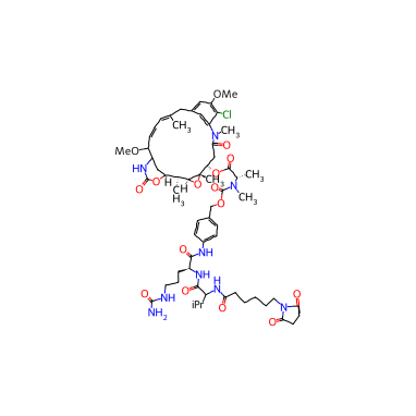 COc1cc2cc(c1Cl)N(C)C(=O)C[C@H](OC(=O)[C@H](C)N(C)C(=O)OCc1ccc(NC(=O)[C@H](CCCNC(N)=O)NC(=O)C(NC(=O)CCCCCN3C(=O)CCC3=O)C(C)C)cc1)[C@]1(C)O[C@H]1[C@H](C)[C@@H]1CC(NC(=O)O1)C(OC)/C=C/C=C(\C)C2